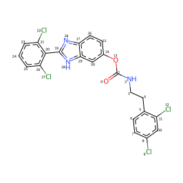 O=C(NCCc1ccc(Cl)cc1Cl)Oc1ccc2nc(-c3c(Cl)cccc3Cl)[nH]c2c1